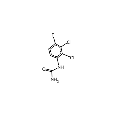 NC(=O)Nc1ccc(F)c(Cl)c1Cl